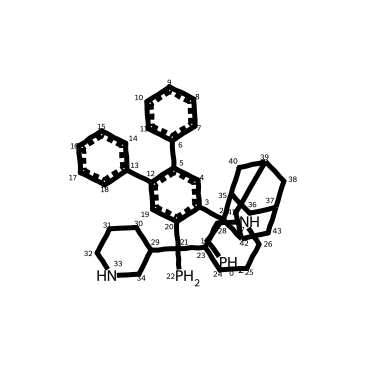 PCC1(c2cc(-c3ccccc3)c(-c3ccccc3)cc2C(P)(C2CCCNC2)C2CCCNC2)C2CC3CC(C2)CC1C3